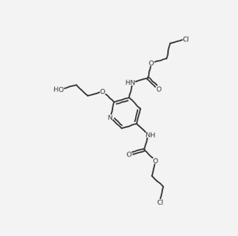 O=C(Nc1cnc(OCCO)c(NC(=O)OCCCl)c1)OCCCl